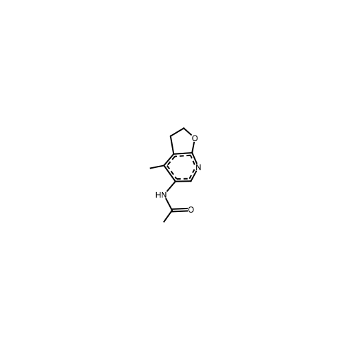 CC(=O)Nc1cnc2c(c1C)CCO2